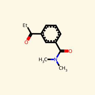 CCC(=O)c1cccc(C(=O)N(C)C)c1